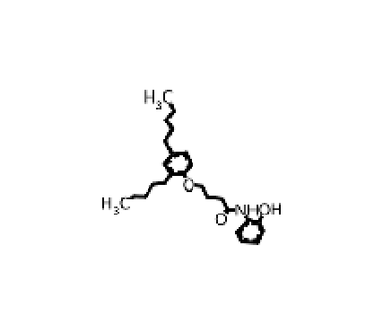 CCCCCc1ccc(OCCCC(=O)Nc2ccccc2O)c(CCCCC)c1